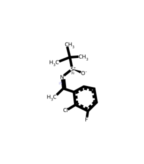 C/C(=N/[S@+]([O-])C(C)(C)C)c1cccc(F)c1Cl